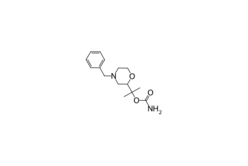 CC(C)(OC(N)=O)C1CN(Cc2ccccc2)CCO1